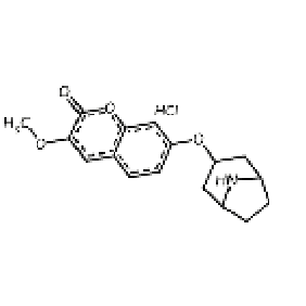 COc1cc2ccc(OC3CC4CCC(C3)N4)cc2oc1=O.Cl